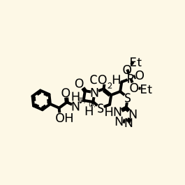 CCOP(=O)(CC(Sc1nnn[nH]1)C1=C(C(=O)O)N2C(=O)[C@@H](NC(=O)C(O)c3ccccc3)[C@@H]2SC1)OCC